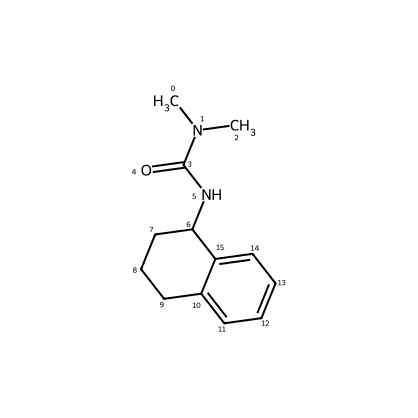 CN(C)C(=O)NC1CCCc2ccccc21